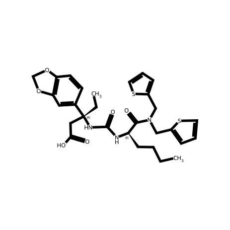 CCCC[C@@H](NC(=O)N[C@](CC)(CC(=O)O)c1ccc2c(c1)OCO2)C(=O)N(Cc1cccs1)Cc1cccs1